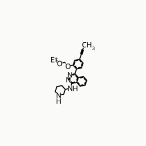 CC#Cc1ccc(-c2nnc(NC3CCCNC3)c3ccccc23)c(OCOCC)c1